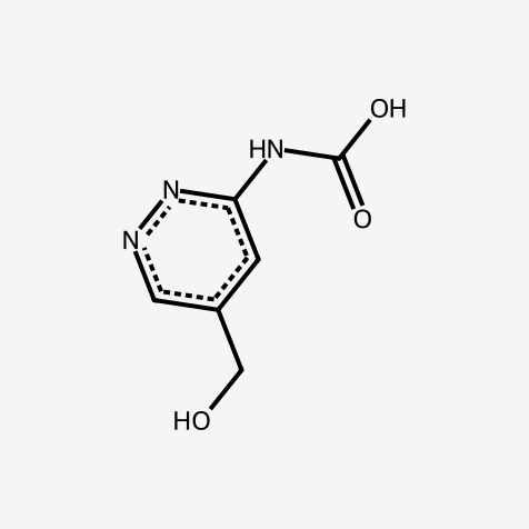 O=C(O)Nc1cc(CO)cnn1